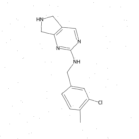 Cc1ccc(CNc2ncc3c(n2)CNC3)cc1Cl